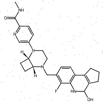 CNC(=O)c1ccc(N2CCN(Cc3ccc4c(c3F)NC(O)C3=C4CCC3)[C@@H]3CC[C@@H]32)cn1